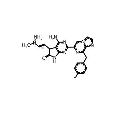 CN(N)/C=C/C1C(=O)Nc2nc(-c3cn4ccnc4c(Cc4ccc(F)cc4)n3)nc(N)c21